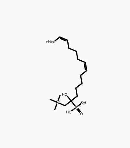 CCCCCC/C=C\CCC/C=C\CCCCC(O)(C[N+](C)(C)C)P(=O)(O)O